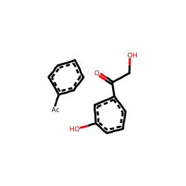 CC(=O)c1ccccc1.O=C(CO)c1cccc(O)c1